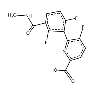 CNC(=O)c1ccc(F)c(-c2nc(C(=O)O)ccc2F)c1F